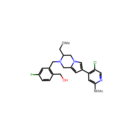 COCC1Cn2cc(-c3cc(NC(C)=O)ncc3Cl)cc2CN1Cc1cc(F)ccc1CO